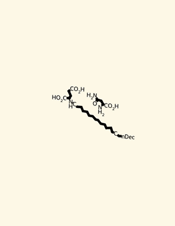 CCCCCCCCCCCCCCCCCCCCCCCCCCNC(CCC(=O)O)C(=O)O.NC(=O)CC(N)C(=O)O